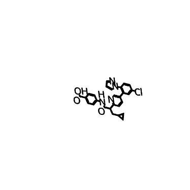 O=C(O)c1ccc(NC(=O)C(CC2CC2)c2ccc(-c3cc(Cl)ccc3-n3cccn3)cn2)cc1